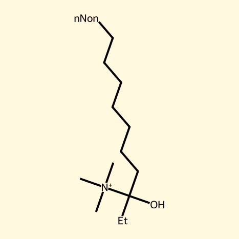 CCCCCCCCCCCCCCCCC(O)(CC)[N+](C)(C)C